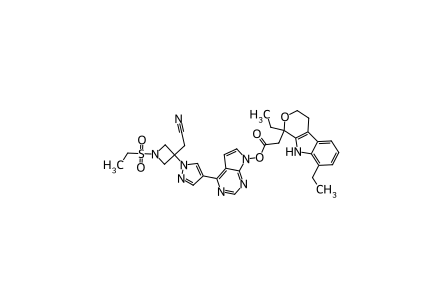 CCc1cccc2c3c([nH]c12)C(CC)(CC(=O)On1ccc2c(-c4cnn(C5(CC#N)CN(S(=O)(=O)CC)C5)c4)ncnc21)OCC3